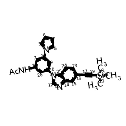 CC(=O)Nc1cc(-n2cccc2)cc(-n2cnc3cc(C#C[Si](C)(C)C)ccc32)c1